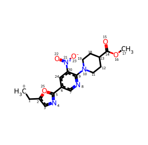 CCc1cnc(-c2cnc(N3CCC(C(=O)OC)CC3)c([N+](=O)[O-])c2)o1